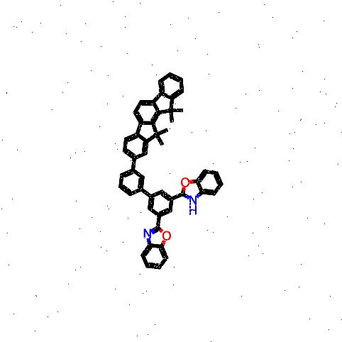 CC1(C)c2ccccc2-c2ccc3c(c21)C(C)(C)c1cc(-c2cccc(-c4cc(-c5nc6ccccc6o5)cc(C5Nc6ccccc6O5)c4)c2)ccc1-3